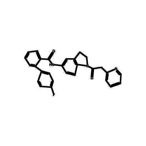 O=C(Nc1ccc2c(c1)CCN2C(=O)Cc1ccccn1)c1ccccc1-c1ccc(F)cc1